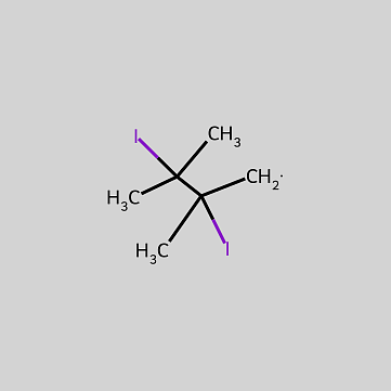 [CH2]C(C)(I)C(C)(C)I